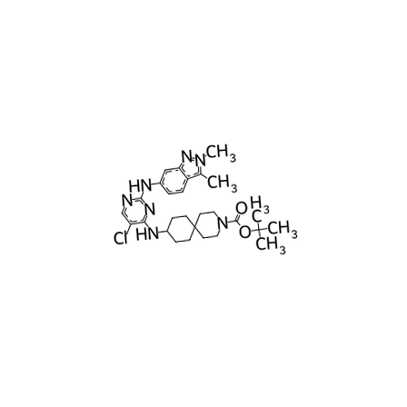 Cc1c2ccc(Nc3ncc(Cl)c(NC4CCC5(CC4)CCN(C(=O)OC(C)(C)C)CC5)n3)cc2nn1C